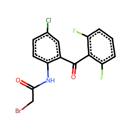 O=C(CBr)Nc1ccc(Cl)cc1C(=O)c1c(F)cccc1F